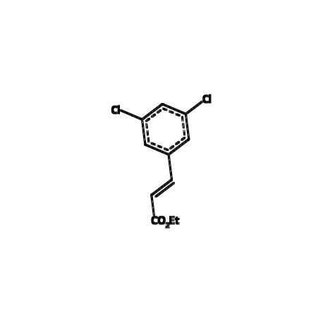 CCOC(=O)C=Cc1cc(Cl)cc(Cl)c1